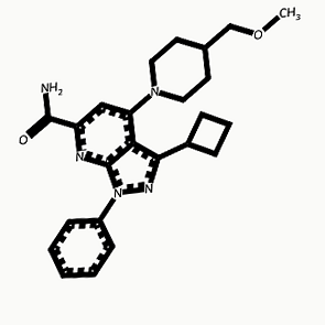 COCC1CCN(c2cc(C(N)=O)nc3c2c(C2CCC2)nn3-c2ccccc2)CC1